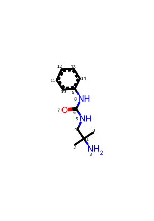 CC(C)(N)CNC(=O)Nc1ccccc1